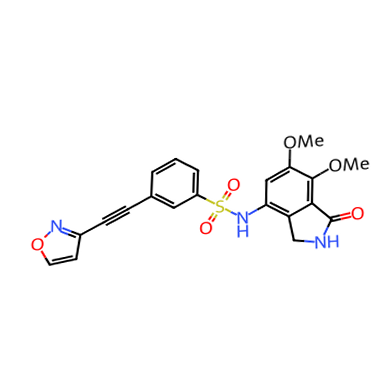 COc1cc(NS(=O)(=O)c2cccc(C#Cc3ccon3)c2)c2c(c1OC)C(=O)NC2